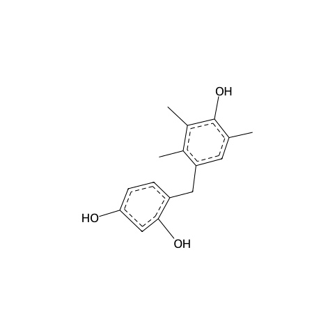 Cc1cc(Cc2ccc(O)cc2O)c(C)c(C)c1O